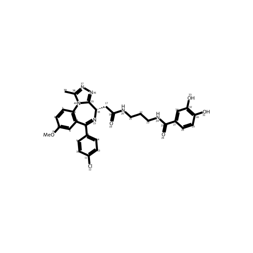 COc1ccc2c(c1)C(c1ccc(Cl)cc1)=N[C@@H](CC(=O)NCCCNC(=O)c1ccc(O)c(O)c1)c1nnc(C)n1-2